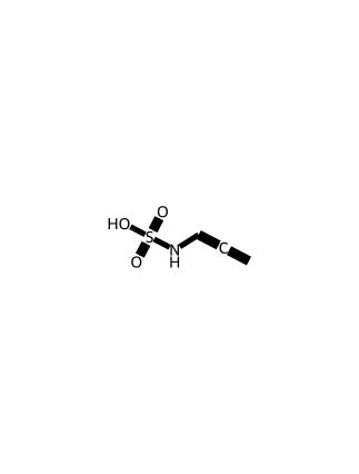 C=C=CNS(=O)(=O)O